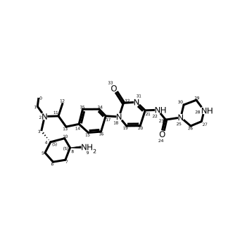 CCN(C[C@H]1CCC[C@H](N)C1)C(C)Cc1ccc(-n2ccc(NC(=O)N3CCNCC3)nc2=O)cc1